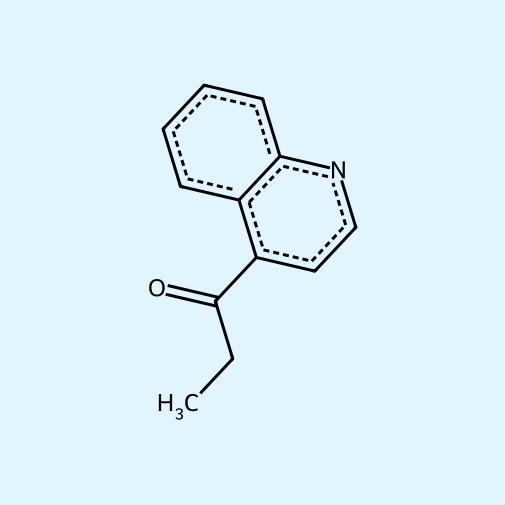 CCC(=O)c1ccnc2ccccc12